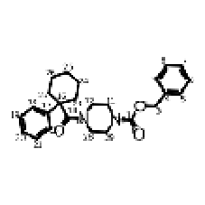 O=C(OCc1ccccc1)N1CCN(C(=O)C2(c3ccccc3)CCCCC2)CC1